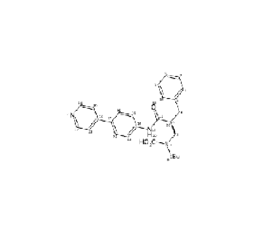 CC(C)(C)N(C[C@H](Cc1ccccc1)C(=O)Nc1ccc(-c2ccncc2)cc1)C(=O)O